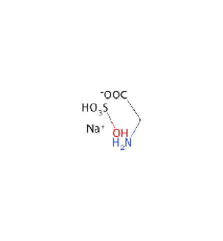 NCC(=O)[O-].O=S(=O)(O)O.[Na+]